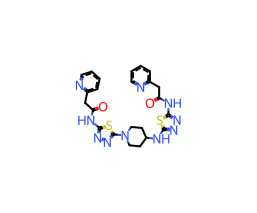 O=C(Cc1ccccn1)Nc1nnc(NC2CCN(c3nnc(NC(=O)Cc4ccccn4)s3)CC2)s1